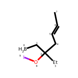 BCC(CC)(CC=CC)OI